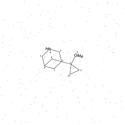 COC1(C23CNCC(C2)C3)CC1